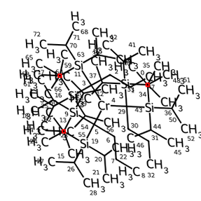 CCC[C]([Cr]([C](CCC)([Si](C(C)C)(C(C)C)C(C)C)[Si](C(C)C)(C(C)C)C(C)C)[C](CCC)([Si](C(C)C)(C(C)C)C(C)C)[Si](C(C)C)(C(C)C)C(C)C)([Si](C(C)C)(C(C)C)C(C)C)[Si](C(C)C)(C(C)C)C(C)C